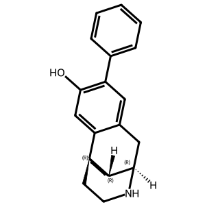 Oc1cc2c(cc1-c1ccccc1)C[C@H]1NCC[C@@]23CCCC[C@@H]13